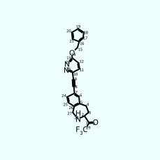 O=C(C1CCc2cc(C#Cc3ccc(OCc4ccccc4)nn3)ccc2CN1)C(F)(F)F